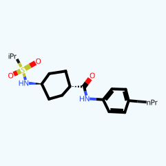 CCCc1ccc(NC(=O)[C@H]2CC[C@H](NS(=O)(=O)C(C)C)CC2)cc1